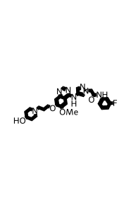 COc1cc2c(Nc3cnn(CC(=O)Nc4cccc(F)c4)c3)ncnc2cc1OCCCN1CCC(O)CC1